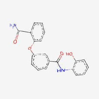 NC(=O)c1ccccc1Oc1cccc(C(=O)Nc2ccccc2O)c1